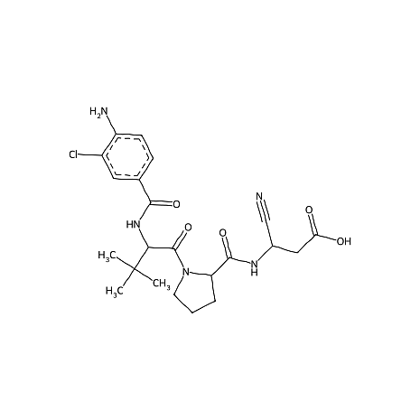 CC(C)(C)C(NC(=O)c1ccc(N)c(Cl)c1)C(=O)N1CCCC1C(=O)NC(C#N)CC(=O)O